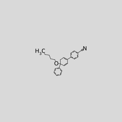 CCCCCOC1(c2ccccc2)C=CC(c2ccc(C#N)cc2)=CC1